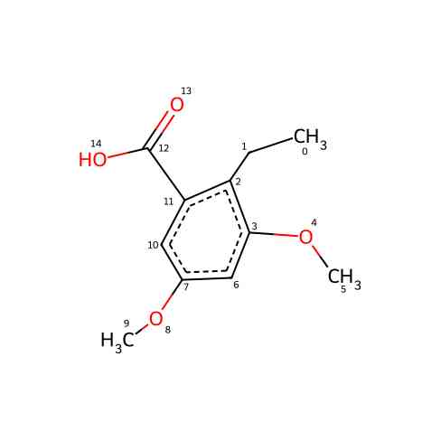 CCc1c(OC)cc(OC)cc1C(=O)O